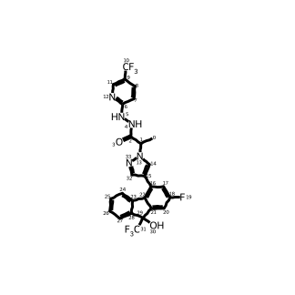 CC(C(=O)NNc1ccc(C(F)(F)F)cn1)n1cc(-c2cc(F)cc3c2-c2ccccc2C3(O)C(F)(F)F)cn1